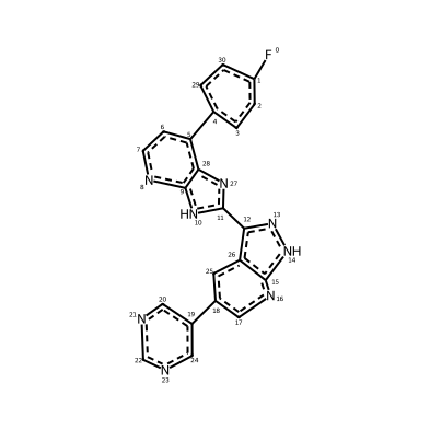 Fc1ccc(-c2ccnc3[nH]c(-c4n[nH]c5ncc(-c6cncnc6)cc45)nc23)cc1